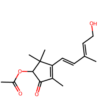 CC(=O)OC1C(=O)C(C)=C(C=CC(C)=CCO)C1(C)C